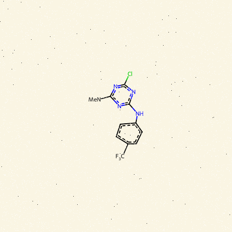 CNc1nc(Cl)nc(Nc2ccc(C(F)(F)F)cc2)n1